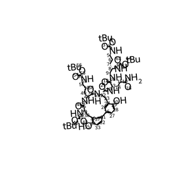 CC(C)(C)OC(=O)NCCC[C@@H](CNC(=O)[C@H](CCC(N)=O)NC(=O)[C@@H]1Cc2cc(ccc2O)-c2ccc(O)c(c2)C[C@H](NC(=O)OC(C)(C)C)C(=O)N[C@@H](CCCNC(=O)OC(C)(C)C)C(=O)N1)NC(=O)OC(C)(C)C